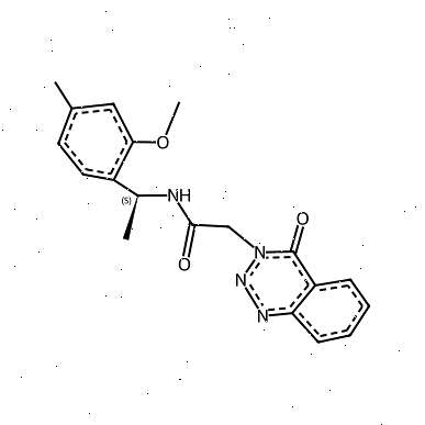 COc1cc(C)ccc1[C@H](C)NC(=O)Cn1nnc2ccccc2c1=O